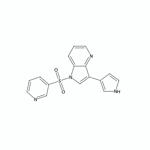 O=S(=O)(c1cccnc1)n1cc(-c2cc[nH]c2)c2ncccc21